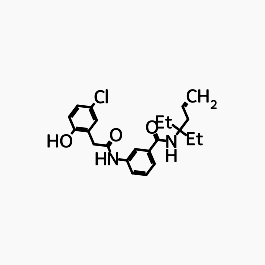 C=CCC(CC)(CC)NC(=O)c1cccc(NC(=O)Cc2cc(Cl)ccc2O)c1